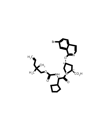 C=CCC(C)(C)COC(=O)N[C@H](C(=O)N1C[C@H](Oc2nccc3ccc(Br)cc23)C[C@H]1C(=O)O)C1CCCC1